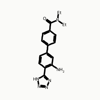 CCN(CC)C(=O)c1ccc(-c2ccc(-c3nnn[nH]3)c(N)c2)cc1